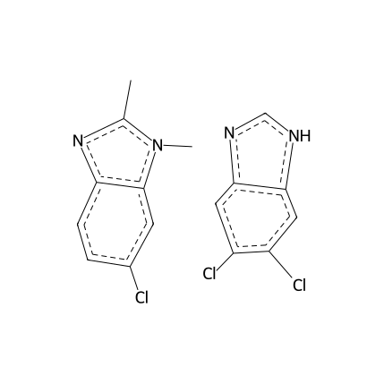 Cc1nc2ccc(Cl)cc2n1C.Clc1cc2nc[nH]c2cc1Cl